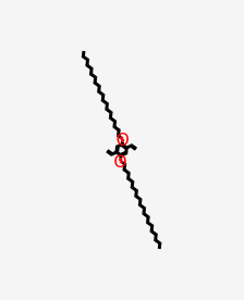 C=Cc1cc(OCCCCCCCCCCCCCCCCCCCC)c(C=C)cc1OCCCCCCCCCCCCCCCCCCCC